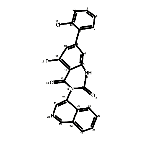 O=c1[nH]c2cc(-c3ccccc3Cl)cc(F)c2c(=O)n1-c1cncc2ccccc12